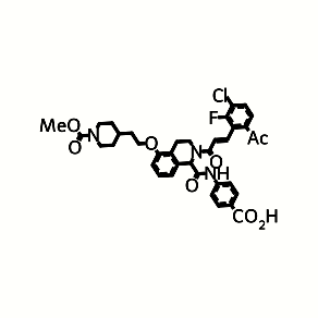 COC(=O)N1CCC(CCOc2cccc3c2CCN(C(=O)C=Cc2c(C(C)=O)ccc(Cl)c2F)C3C(=O)Nc2ccc(C(=O)O)cc2)CC1